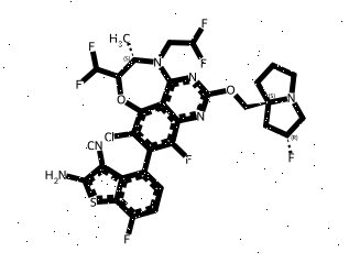 C[C@H]1C(C(F)F)Oc2c(Cl)c(-c3ccc(F)c4sc(N)c(C#N)c34)c(F)c3nc(OC[C@@]45CCCN4C[C@H](F)C5)nc(c23)N1CC(F)F